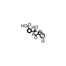 CN(C(=O)c1cnn2c1CNCC2)C1(c2cccc(C(=O)O)c2)CC1.Cl